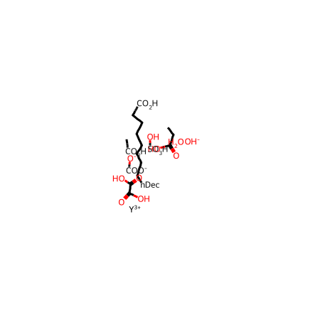 CC(=O)O.CCC(=O)O.CCCCCCCCCCCCCCCCCC(=O)O.O.O=C(O)C(=O)O.O=C([O-])[O-].O=S(=O)(O)O.[OH-].[Y+3]